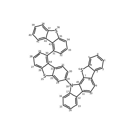 c1ccc2c(c1)sc1c2ccc2c3ccccc3n(-c3ccc4c(c3)sc3cccc(-c5cccc6sc7ccccc7c56)c34)c21